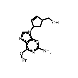 CC(C)Oc1nc(N)nc2c1ncn2C1C=CC(CO)C1